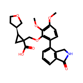 COc1ccc(-c2cccc3c2CNC3=O)c(OCC2(C(=O)O)CC2[C@H]2CCOC2)c1OC